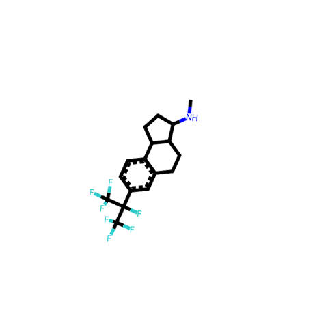 CNC1CCC2c3ccc(C(F)(C(F)(F)F)C(F)(F)F)cc3CCC12